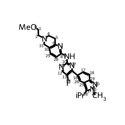 COCCN1CCc2nc(Nc3ncc(F)c(-c4ccc5nn(C)c(C(C)C)c5c4)n3)ccc2C1